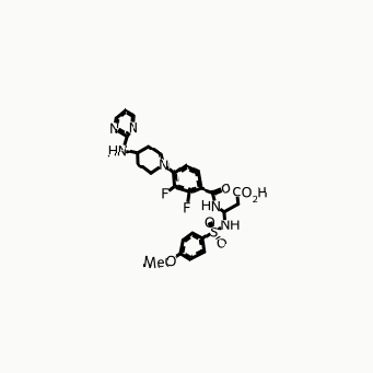 COc1ccc(S(=O)(=O)NC(CC(=O)O)NC(=O)c2ccc(N3CCC(Nc4ncccn4)CC3)c(F)c2F)cc1